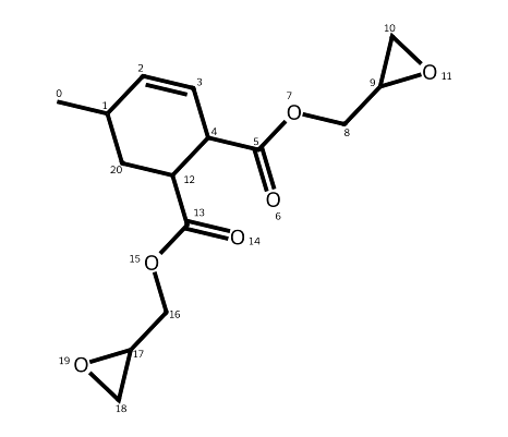 CC1C=CC(C(=O)OCC2CO2)C(C(=O)OCC2CO2)C1